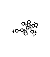 CC(C)(C)c1ccc(-c2ccc3c(c2)C2(C)CCCCC2(C)N3c2cc3c4c(c2)N(c2ccc5c(c2)C(C)(C)CCC5(C)C)c2cc5c(cc2B4c2ccccc2N3c2ccccc2)C(C)(C)CCC5(C)C)cc1